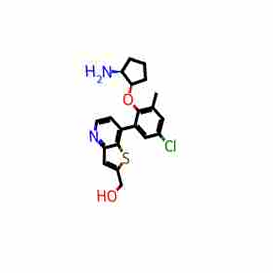 Cc1cc(Cl)cc(-c2ccnc3cc(CO)sc23)c1O[C@@H]1CCC[C@@H]1N